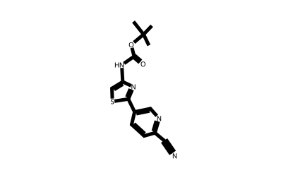 CC(C)(C)OC(=O)Nc1csc(-c2ccc(C#N)nc2)n1